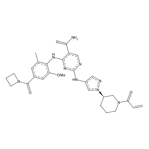 C=CC(=O)N1CCC[C@@H](n2cc(Nc3ncc(C(N)=O)c(Nc4c(C)cc(C(=O)N5CCC5)cc4OC)n3)cn2)C1